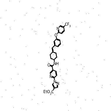 CCOC(=O)c1cnn(-c2ccc(C(=O)NC3CCC(=Cc4cccc(Oc5ccc(C(F)(F)F)cn5)c4)CC3)cn2)c1